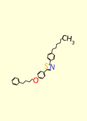 CCCCCCc1ccc(-c2ncc(-c3ccc(OCCCCc4ccccc4)cc3)s2)cc1